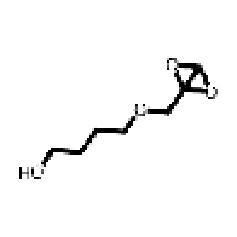 OCCCCOCC12OC1O2